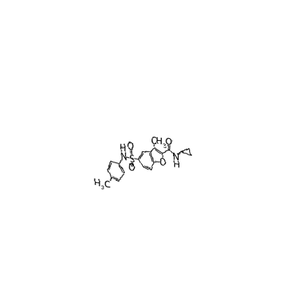 Cc1ccc(NS(=O)(=O)c2ccc3oc(C(=O)NC4CC4)c(C)c3c2)cc1